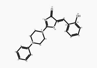 O=C1N=C(N2CCN(c3ccccc3)CC2)SC1=Cc1ccccc1O